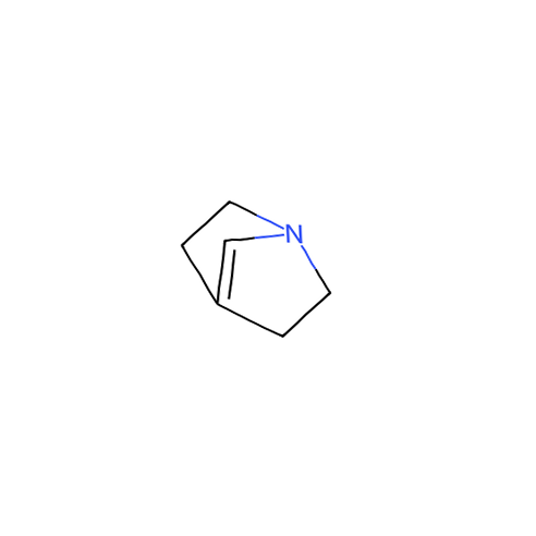 C1=C2CCN1CC2